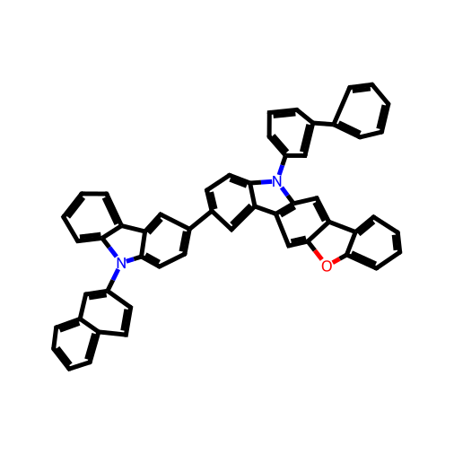 c1ccc(-c2cccc(-n3c4ccc(-c5ccc6c(c5)c5ccccc5n6-c5ccc6ccccc6c5)cc4c4cc5oc6ccccc6c5cc43)c2)cc1